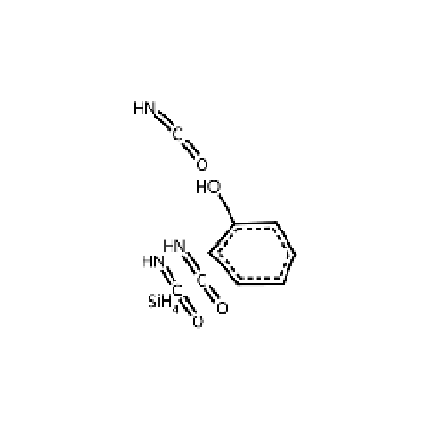 N=C=O.N=C=O.N=C=O.Oc1ccccc1.[SiH4]